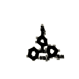 N#[N+]c1ccc(Nc2ccccc2)cc1.O=S(=O)(O)c1ccccc1.[NaH]